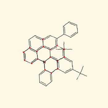 CC(C)(C)c1cc(-c2ccccc2N(c2ccccc2-c2ccc(-c3ccccc3)cc2)c2ccccc2-c2cccc3cccc(C4CCCCC4)c23)cc(C(C)(C)C)c1